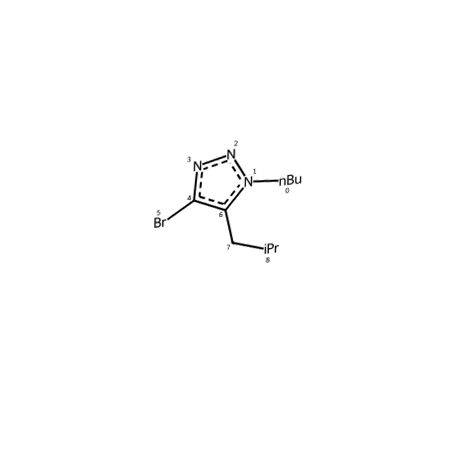 CCCCn1nnc(Br)c1CC(C)C